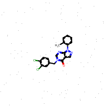 Cc1ccccc1-n1ncc2c(=O)n(Cc3ccc(Cl)c(Cl)c3)cnc21